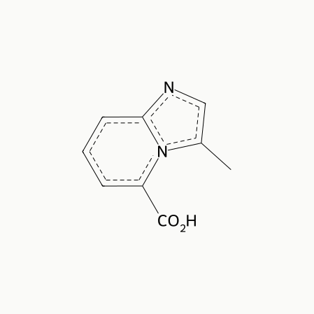 Cc1cnc2cccc(C(=O)O)n12